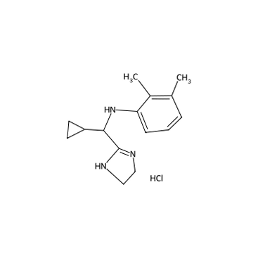 Cc1cccc(NC(C2=NCCN2)C2CC2)c1C.Cl